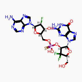 Nc1nc2c(ncn2[C@@H]2O[C@H](CO)C(F)(F)[C@H]2OP(O)(=S)OC[C@H]2O[C@@H](n3cnc4c(N)ncnc43)[C@@H](F)[C@@H]2O)c(=O)[nH]1